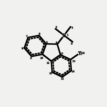 C[Si](C)(C)C1c2ccccc2-c2ccc[c]([Ti])c21